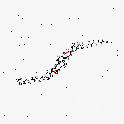 CCCCCCCCCCCCc1ccc(-c2cc3cc4c(ccc5c6cc7cc(-c8ccc(CCCCCCCCCCCC)cc8)oc7cc6ccc45)cc3o2)cc1